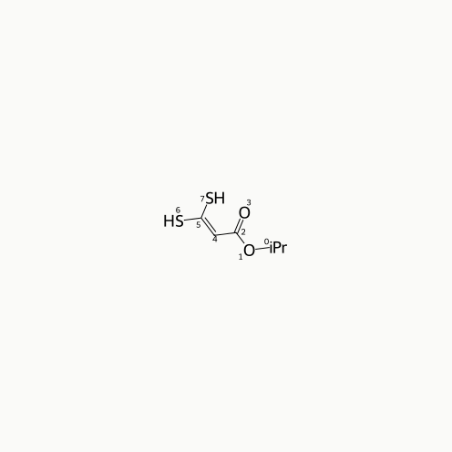 CC(C)OC(=O)C=C(S)S